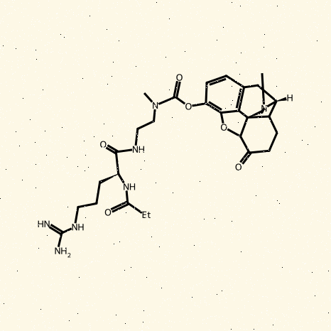 CCC(=O)N[C@@H](CCCNC(=N)N)C(=O)NCCN(C)C(=O)Oc1ccc2c3c1OC1C(=O)CCC4[C@@H](C2)N(C)C[C@]314